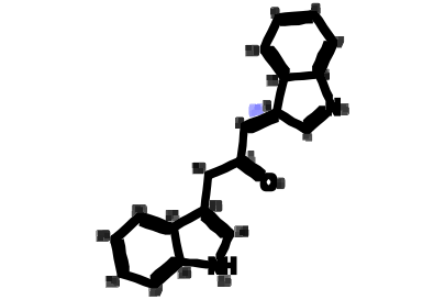 O=C(/C=C1\C=Nc2ccccc21)Cc1c[nH]c2ccccc12